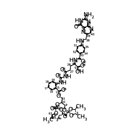 CCOP(=O)(OCC)OCC(COC(=O)c1ccccc1NC(=O)NC(=O)CC[C@@H](NC(=O)c1ccc(NCc2cnc3nc(N)[nH]c(=O)c3n2)cc1)C(=O)O)OP(=O)(OCC)OCC